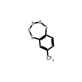 FC(F)(F)c1ccc2c(c1)SSSSS2